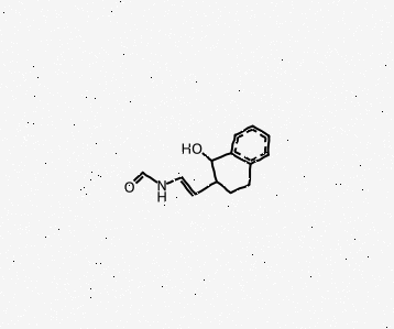 O=CNC=CC1CCc2ccccc2C1O